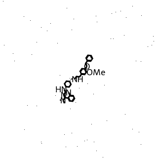 COc1cc(CCNC[C@H]2CC[C@@H](Nc3nc(N(C)C)c4ccccc4n3)CC2)ccc1OCc1ccccc1